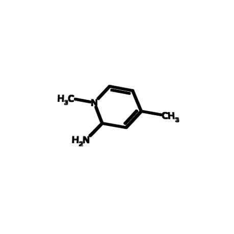 CC1=CC(N)N(C)C=C1